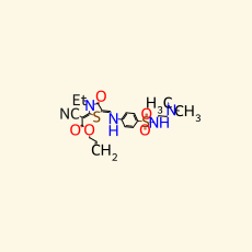 C=CCOC(=O)C(C#N)=c1sc(=CNc2ccc(S(=O)(=O)NCCN(C)C)cc2)c(=O)n1CC